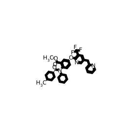 COC(=O)c1cc(Oc2ncc(Cc3ccccn3)cc2C(F)(F)F)ccc1N(C(=O)[C@H]1CC[C@H](C)CC1)C1CCCCC1